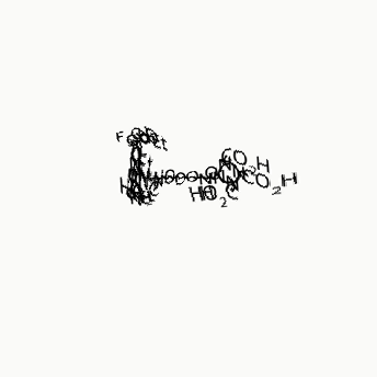 CCOc1ccc(C(=O)N2CCN(c3ccc(-c4cccnc4OCC)nc3CNCCCN(CCOCCOCCOCCNC(=O)CN3CCN(CC(=O)O)CCN(CC(=O)O)CCN(CC(=O)O)CC3)CC(=O)O)C(CC)C2)c(C(F)(F)F)n1